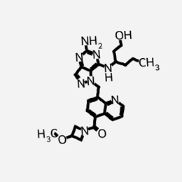 CCCC(CCO)Nc1nc(N)nc2cnn(Cc3ccc(C(=O)N4CC(OC)C4)c4cccnc34)c12